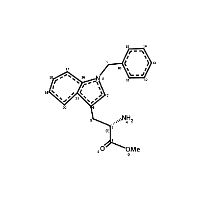 COC(=O)[C@@H](N)Cc1cn(Cc2ccccc2)c2ccccc12